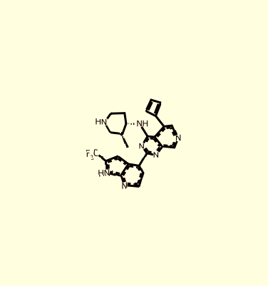 C[C@H]1CNCC[C@@H]1Nc1nc(-c2ccnc3[nH]c(C(F)(F)F)cc23)nc2cncc(C3=CC=C3)c12